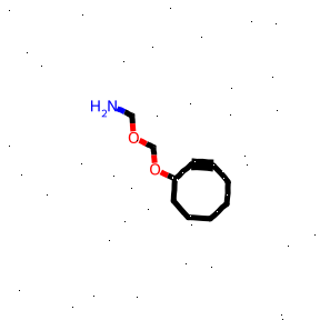 NCOCOC1C#CCCCCC1